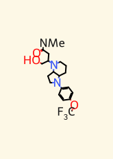 CNC(=O)CC(CO)N1CCCC2C1CCN2c1ccc(OC(F)(F)F)cc1